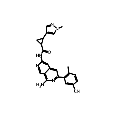 Cc1ccc(C#N)cc1-c1cc2cc(NC(=O)C3CC3c3cnn(C)c3)ncc2c(N)n1